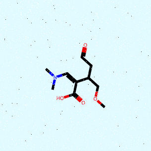 COCC(CC=O)C(=CN(C)C)C(=O)O